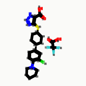 O=C(O)C(F)(F)F.O=C(O)c1[nH]nnc1S[C@H]1CC[C@@H](c2ccc(N3CCCCC3)c(Cl)c2)CC1